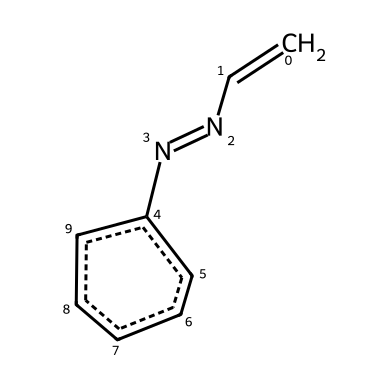 C=CN=Nc1ccccc1